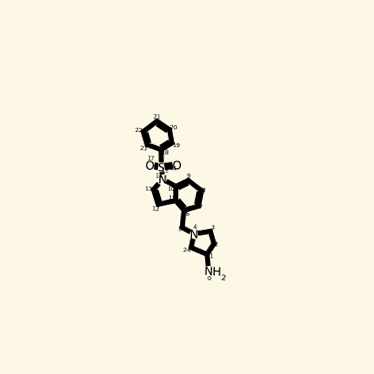 NC1CCN(Cc2cccc3c2ccn3S(=O)(=O)c2ccccc2)C1